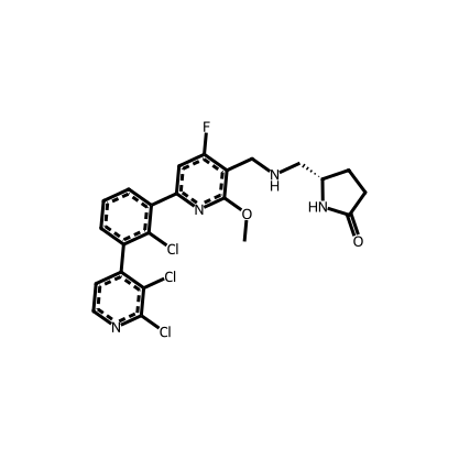 COc1nc(-c2cccc(-c3ccnc(Cl)c3Cl)c2Cl)cc(F)c1CNC[C@@H]1CCC(=O)N1